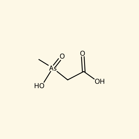 C[As](=O)(O)CC(=O)O